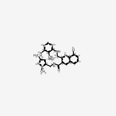 Cc1cc(CNC(=O)c2cc3cccc(Cl)c3nc2[C@H](C)Nc2ncnc(N)c2C#N)n(C)n1